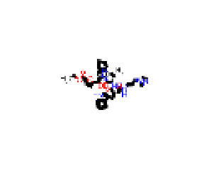 CCOC(=O)c1ccc([C@H](O)[C@H](CC2CCCCC2)NC(=O)[C@H](CC(C)C)NC(=O)[C@@H](CC(=O)NCCCn2ccnc2)Cc2c[nH]c3ccccc23)o1